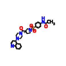 CC(=O)Nc1ccc(S(=O)(=O)N2CC[C@@H](C(=O)N3CCN(c4ccnc5ccccc45)CC3)C2)cc1